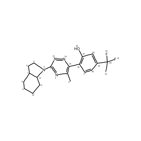 Cc1nc(N2CCC3CCCCC32)nnc1-c1ccc(C(F)(F)F)cc1O